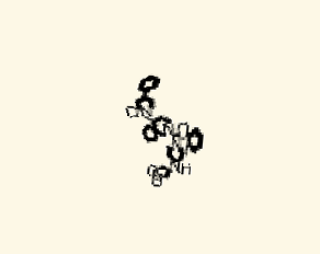 O=C(N1CC[C@@H](Cn2ccc(-c3ccccc3)cc2=O)C2(CCCC2)C1)N1CC[C@@H](NC2CS(=O)(=O)C2)C[C@H]1c1ccccc1